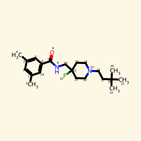 Cc1cc(C)cc(C(=O)NCC2(F)CCN(CCC(C)(C)C)CC2)c1